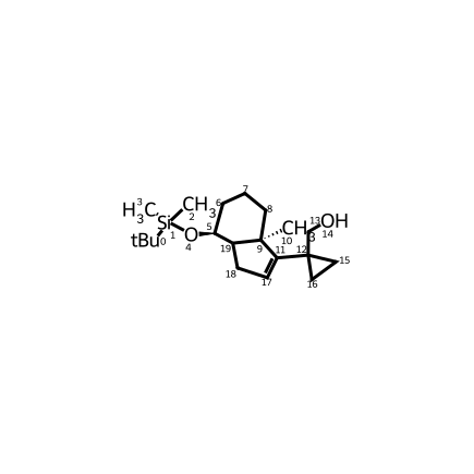 CC(C)(C)[Si](C)(C)O[C@H]1CCC[C@@]2(C)C(C3(CO)CC3)=CCC12